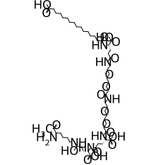 CC(=O)[C@@H](N)CCCCNC(O)CC[C@H](NC(=O)CC[C@H](NC(=O)COCCOCCNC(=O)COCCOCCNC(=O)CC[C@H](NC(=O)CCCCCCCCCCCCCCC(=O)O)C(=O)O)C(=O)O)C(=O)O